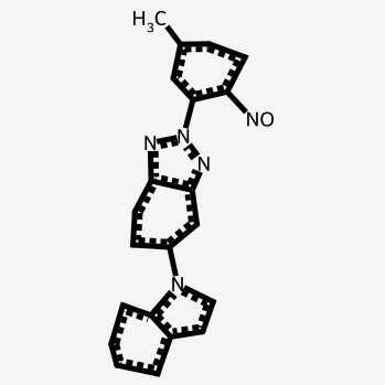 Cc1ccc(N=O)c(-n2nc3ccc(-n4ccc5ccccc54)cc3n2)c1